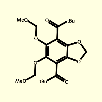 COCOc1c(OCOC)c(C(=O)C(C)(C)C)c2c(c1C(=O)C(C)(C)C)OCO2